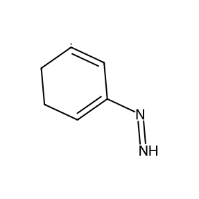 N=NC1=CCC[C]=C1